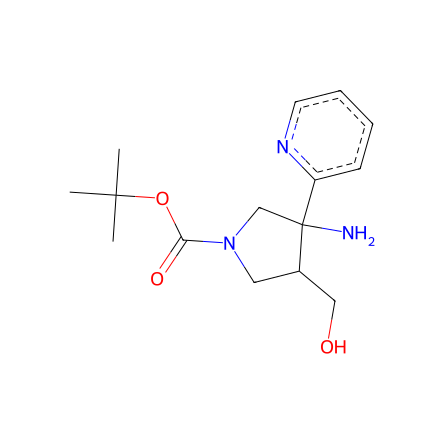 CC(C)(C)OC(=O)N1CC(CO)C(N)(c2ccccn2)C1